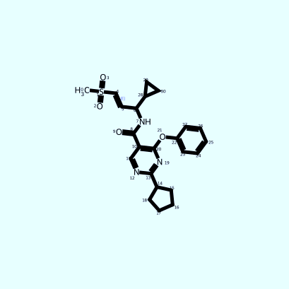 CS(=O)(=O)/C=C/C(NC(=O)c1cnc(C2CCCC2)nc1Oc1ccccc1)C1CC1